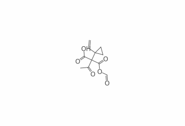 C=CC1(C(C(C)=O)(C(=O)O)C(=O)OC=O)CC1